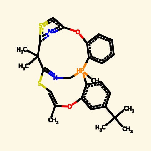 C/C1=C\S/C2=N/C[PH](C)(c3ccc(C(C)(C)C)cc3O1)c1ccccc1Oc1csc(n1)C2(C)C